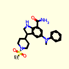 CCS(=O)(=O)N1CCC(C2CNc3c(C(N)=O)cc(N(C)c4ccccc4)cc32)CC1